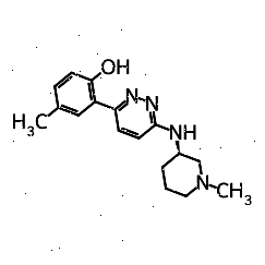 Cc1ccc(O)c(-c2ccc(N[C@@H]3CCCN(C)C3)nn2)c1